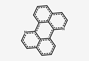 c1cc2ccnc3c4cccc5ccnc(c(c1)c23)c54